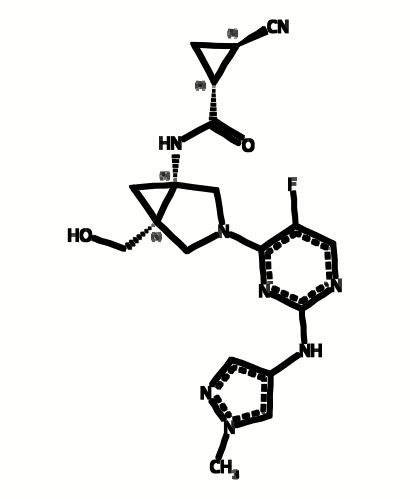 Cn1cc(Nc2ncc(F)c(N3C[C@@]4(CO)C[C@@]4(NC(=O)[C@@H]4C[C@H]4C#N)C3)n2)cn1